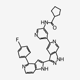 O=C(Nc1cncc(-c2cc3c(-c4cc5c(-c6ccc(F)cc6)nccc5[nH]4)n[nH]c3cn2)c1)C1CCCC1